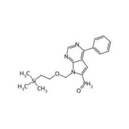 C[Si](C)(C)CCOCn1c([PH2]=O)cc2c(-c3ccccc3)ncnc21